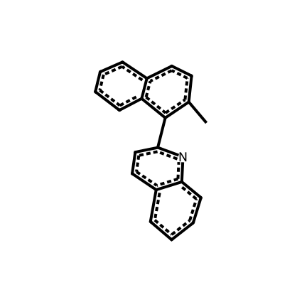 Cc1ccc2ccccc2c1-c1ccc2ccccc2n1